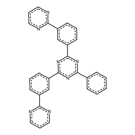 c1ccc(-c2nc(-c3cccc(-c4ncccn4)c3)nc(-c3cccc(-c4ncccn4)c3)n2)cc1